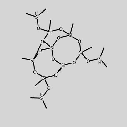 C[SiH](C)O[Si]1(C)O[Si]2(C)O[Si](C)(O[SiH](C)C)O[Si]3(C)O[Si](C)(O[SiH](C)C)O[Si](C)(O1)O[Si](C)(O2)O3